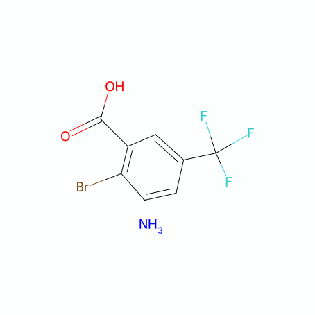 N.O=C(O)c1cc(C(F)(F)F)ccc1Br